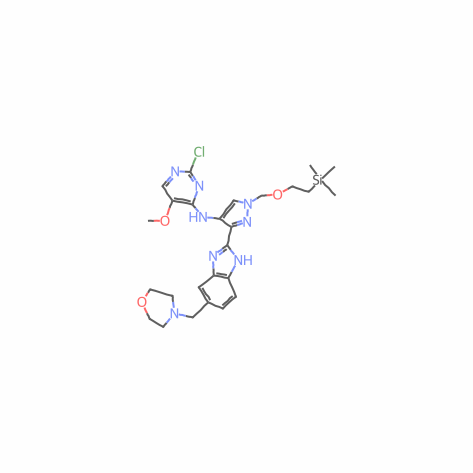 COc1cnc(Cl)nc1Nc1cn(COCC[Si](C)(C)C)nc1-c1nc2cc(CN3CCOCC3)ccc2[nH]1